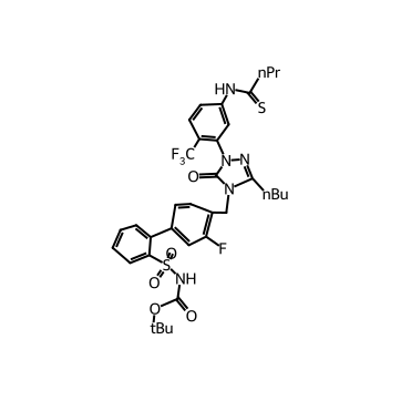 CCCCc1nn(-c2cc(NC(=S)CCC)ccc2C(F)(F)F)c(=O)n1Cc1ccc(-c2ccccc2S(=O)(=O)NC(=O)OC(C)(C)C)cc1F